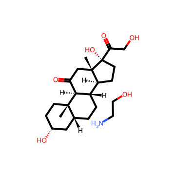 C[C@]12CC[C@@H](O)C[C@H]1CC[C@@H]1[C@@H]2C(=O)C[C@@]2(C)[C@H]1CC[C@]2(O)C(=O)CO.NCCO